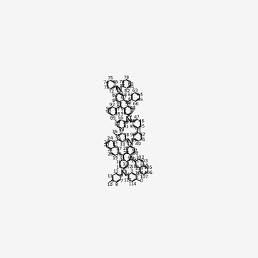 Cc1ccc(N(c2ccc(C)cc2)c2ccc3c(-c4ccc5ccccc5c4)c4cc(N(c5ccc(C)cc5)c5cccc(-c6cccc(N(c7ccccc7)c7ccc8c(-c9ccccc9)c9cc(N(c%10ccccc%10)c%10ccccc%10)ccc9c(-c9ccccc9)c8c7)c6)c5)ccc4c(-c4ccc5ccccc5c4)c3c2)cc1